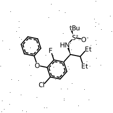 CCC(CC)[C@H](N[S@+]([O-])C(C)(C)C)c1ccc(Cl)c(Oc2ccccc2)c1F